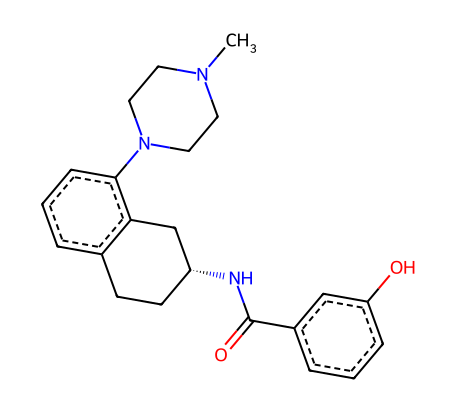 CN1CCN(c2cccc3c2C[C@H](NC(=O)c2cccc(O)c2)CC3)CC1